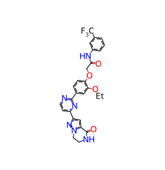 CCOc1cc(-c2nccc(-c3cc4n(n3)CCNC4=O)n2)ccc1OCC(=O)Nc1cccc(C(F)(F)F)c1